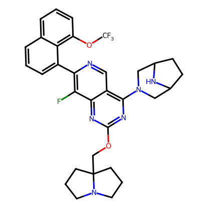 Fc1c(-c2cccc3cccc(OC(F)(F)F)c23)ncc2c(N3CC4CCC(C3)N4)nc(OCC34CCCN3CCC4)nc12